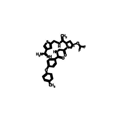 C=C(NCc1cc(C(=N)N)cs1)C1C[C@@H](OC(F)F)CN1C(=O)CNC(=O)c1ccc(Oc2ccc(C)cc2)cc1